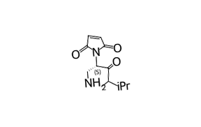 CC(C)C(C)C(=O)[C@H](CN)N1C(=O)C=CC1=O